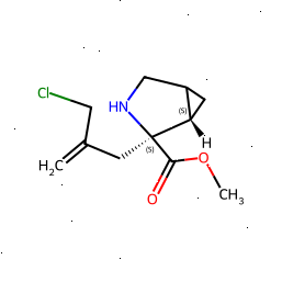 C=C(CCl)C[C@]1(C(=O)OC)NCC2C[C@@H]21